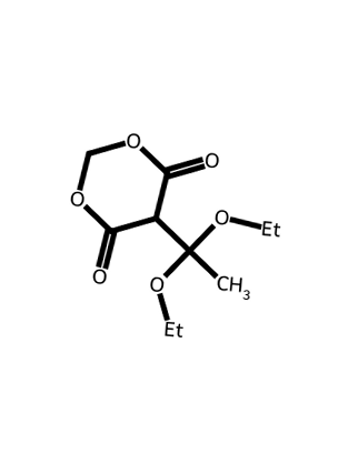 CCOC(C)(OCC)C1C(=O)OCOC1=O